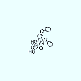 O=C(O)CNC(=O)c1nc(Oc2ccccc2)c2cc(Oc3ccccc3)ccc2c1O